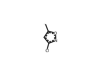 [CH2]c1cc(Cl)no1